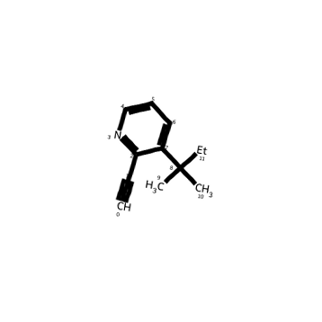 C#Cc1ncccc1C(C)(C)CC